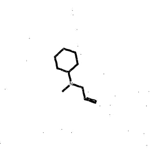 C=CCN(C)C1CCCCC1